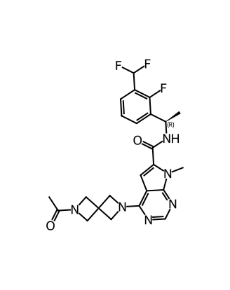 CC(=O)N1CC2(C1)CN(c1ncnc3c1cc(C(=O)N[C@H](C)c1cccc(C(F)F)c1F)n3C)C2